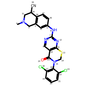 CN1Cc2cc(Nc3ncc4c(n3)SCN(c3c(Cl)cccc3Cl)C4=O)ccc2C(C#N)C1